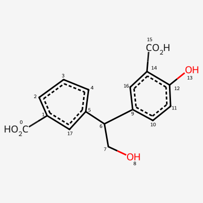 O=C(O)c1cccc(C(CO)c2ccc(O)c(C(=O)O)c2)c1